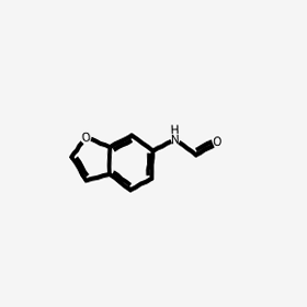 O=CNc1ccc2ccoc2c1